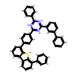 c1ccc(-c2cccc(-c3nc(-c4ccccc4)nc(-c4ccc(-c5cccc6c5sc5c(-c7ccccc7)cccc56)cc4)n3)c2)cc1